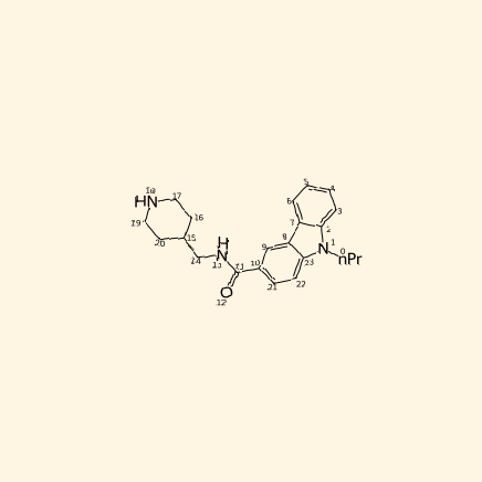 CCCn1c2ccccc2c2cc(C(=O)NCC3CCNCC3)ccc21